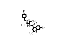 Cc1nn(Cc2ccc(F)cc2)c(C)c1NC(=O)c1cc(C(F)(F)F)nc2cc(Br)ccc12